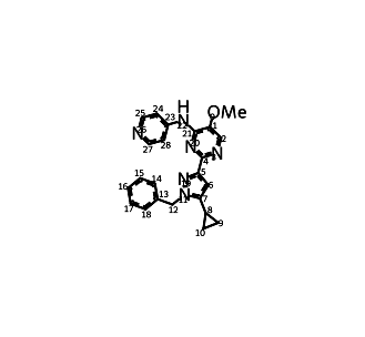 COc1cnc(-c2cc(C3CC3)n(Cc3ccccc3)n2)nc1Nc1ccncc1